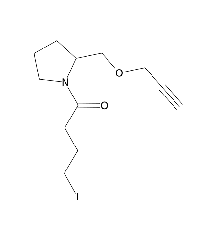 C#CCOCC1CCCN1C(=O)CCCI